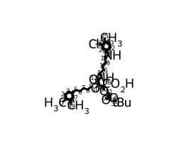 Cc1ccc(CCCCCO[C@@H](C(=O)NCCCCCNc2ccc(C)c(Cl)c2)[C@@H](OCC(=O)OC(C)(C)C)C(=O)O)cc1C